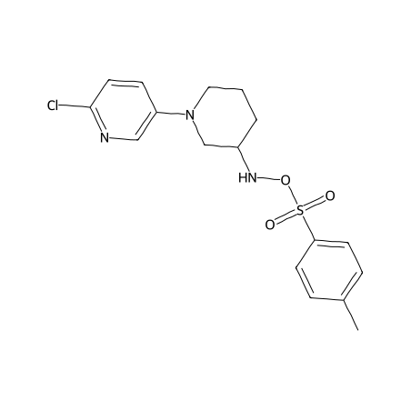 Cc1ccc(S(=O)(=O)ONC2CCCN(c3ccc(Cl)nc3)C2)cc1